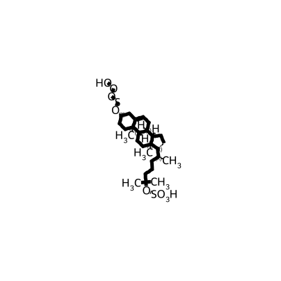 C[C@H](CCCC(C)(C)OS(=O)(=O)O)[C@H]1CC[C@H]2[C@@H]3CC=C4C[C@@H](OSOOO)CC[C@]4(C)[C@H]3CC[C@]12C